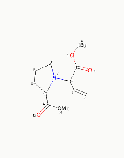 C=CC(C(=O)OC(C)(C)C)N1CCCC1C(=O)OC